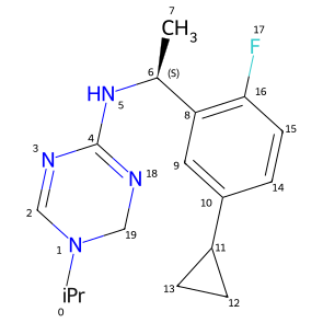 CC(C)N1C=NC(N[C@@H](C)c2cc(C3CC3)ccc2F)=NC1